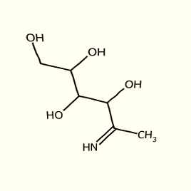 CC(=N)C(O)C(O)C(O)CO